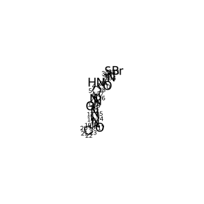 O=C(Nc1ccc2nn(CC(=O)N3CCN(C(=O)c4ccccc4)CC3)cc2c1)c1csc(Br)n1